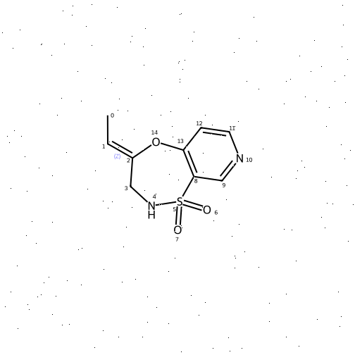 C/C=C1/CNS(=O)(=O)c2cnccc2O1